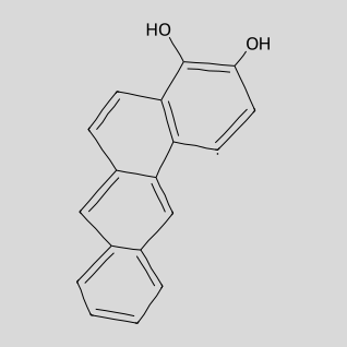 Oc1c[c]c2c(ccc3cc4ccccc4cc32)c1O